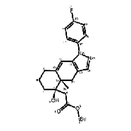 CC(C)(C)OC(=O)C[C@]1(O)CCCC2=Cc3c(cnn3-c3ccc(F)cc3)C[C@@]21C